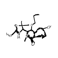 CCCOc1c(C(NC(=O)O)C(C)(C)C)n(C)c(=O)c2ccc(Cl)cc12